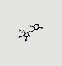 N#Cc1c(Br)nn(CCc2cc(Br)ccc2Br)c1N